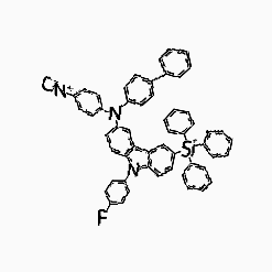 [C-]#[N+]c1ccc(N(c2ccc(-c3ccccc3)cc2)c2ccc3c(c2)c2cc([Si](c4ccccc4)(c4ccccc4)c4ccccc4)ccc2n3-c2ccc(F)cc2)cc1